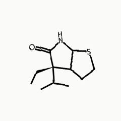 CC[C@@]1(C(C)C)C(=O)NC2SCCC21